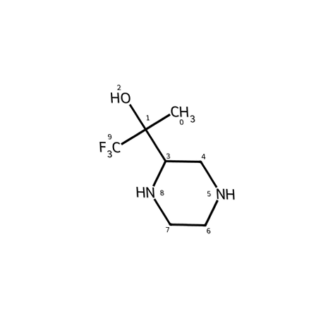 CC(O)(C1CNCCN1)C(F)(F)F